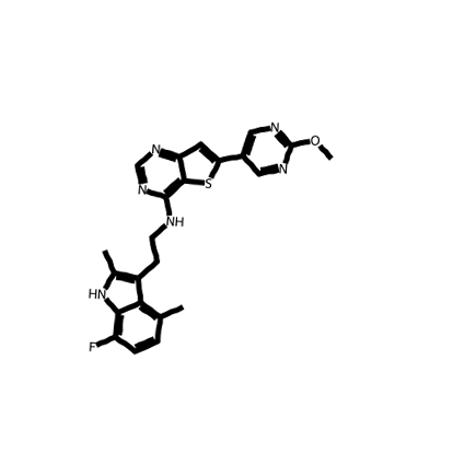 COc1ncc(-c2cc3ncnc(NCCc4c(C)[nH]c5c(F)ccc(C)c45)c3s2)cn1